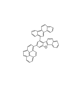 c1ccc2c(c1)ccc1c3ccccc3c(-c3cc(-c4ccc5ccc6cccc7ccc4c5c67)cc4oc5c6ccccc6ccc5c34)cc21